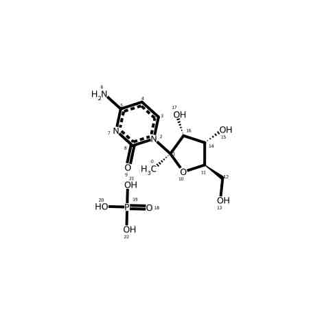 C[C@@]1(n2ccc(N)nc2=O)O[C@H](CO)[C@@H](O)[C@H]1O.O=P(O)(O)O